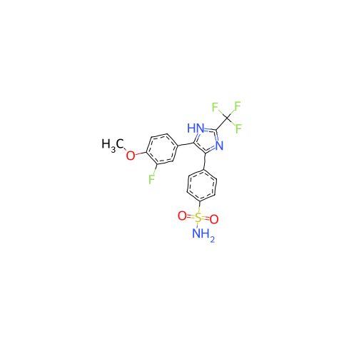 COc1ccc(-c2[nH]c(C(F)(F)F)nc2-c2ccc(S(N)(=O)=O)cc2)cc1F